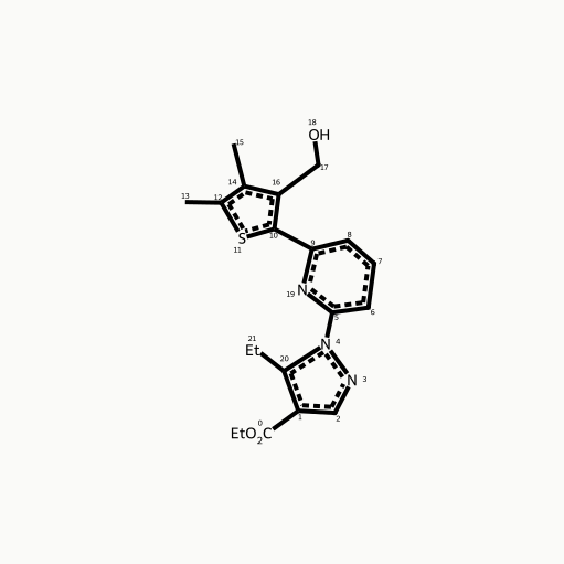 CCOC(=O)c1cnn(-c2cccc(-c3sc(C)c(C)c3CO)n2)c1CC